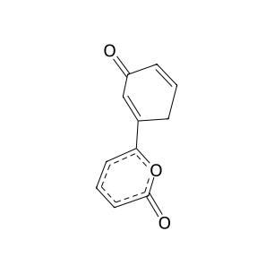 O=C1C=CCC(c2cccc(=O)o2)=C1